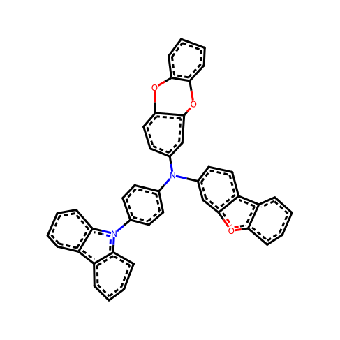 c1ccc2c(c1)Oc1ccc(N(c3ccc(-n4c5ccccc5c5ccccc54)cc3)c3ccc4c(c3)oc3ccccc34)cc1O2